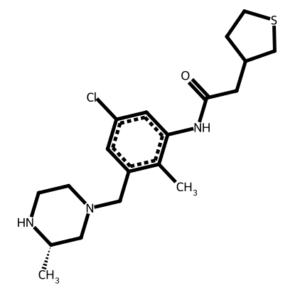 Cc1c(CN2CCN[C@@H](C)C2)cc(Cl)cc1NC(=O)CC1CCSC1